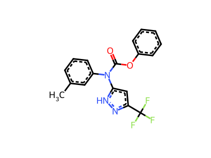 Cc1cccc(N(C(=O)Oc2ccccc2)c2cc(C(F)(F)F)n[nH]2)c1